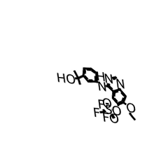 CCOc1cc2ncnc(Nc3cccc(C(C)(C)O)c3)c2cc1OS(=O)(=O)C(F)(F)F